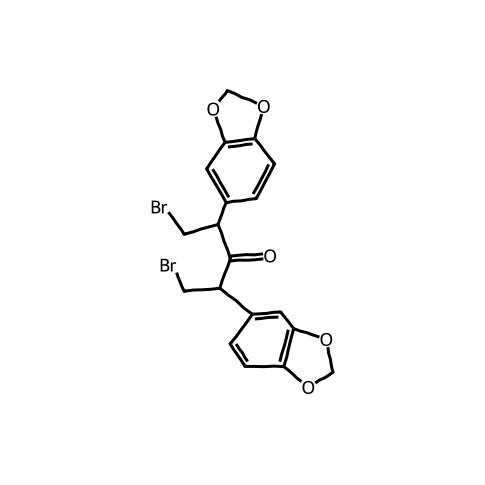 O=C(C(CBr)c1ccc2c(c1)OCO2)C(CBr)c1ccc2c(c1)OCO2